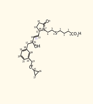 O=C(O)CCCSCCN1C(=O)CC[C@@H]1/C=C/[C@@H](O)Cc1cccc(COC2CC2)c1